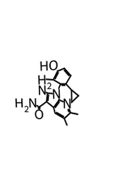 Cc1cc2c(C(N)=O)c(N)n(-c3c(C4CC4)ccc(O)c3C)c2nc1C